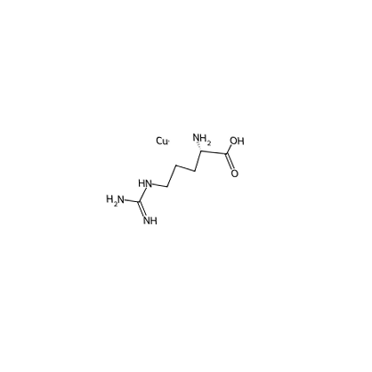 N=C(N)NCCC[C@H](N)C(=O)O.[Cu]